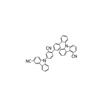 N#Cc1ccc2c(c1)c1ccccc1n2-c1ccc(-c2ccc(-c3ccccc3-n3c4ccccc4c4c(C#N)cccc43)cc2)c(C#N)c1